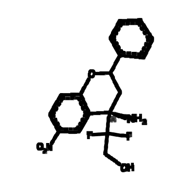 N[C@]1(C(F)(F)CO)CC(c2ccccc2)Oc2ccc([N+](=O)[O-])cc21